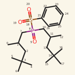 CC(CC(C)(C)C)CP(=O)(CC(C)CC(C)(C)C)S(=O)(=O)c1ccccc1